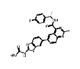 CCCCC(=O)Nc1nc2ccc(-c3ccc4nc(C)nc(C(=O)N[C@@H](C)c5ccc(F)cc5)c4c3)cc2s1